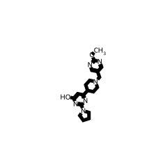 COc1ncc(CN2CCC(c3cc(O)nc(N4CCCC4)n3)CC2)cn1